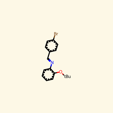 CC(C)(C)Oc1ccccc1/N=C/c1ccc(Br)cc1